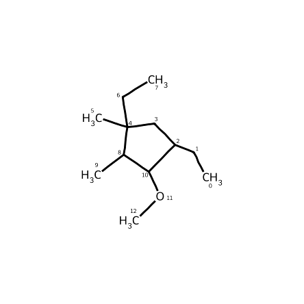 CCC1CC(C)(CC)C(C)C1OC